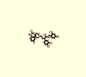 CN1C(=O)OC2(CCN(CCC(C(=O)NCc3ccc(Cl)cc3Cl)c3ccc(Cl)c(Cl)c3)CC2)c2cc(F)ccc21